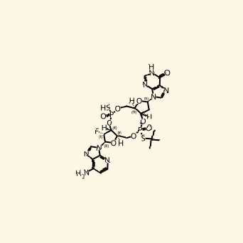 CC(C)(C)SP1(=O)OC[C@H]2O[C@@H](n3cnc4c(N)ccnc43)[C@H](F)[C@@H]2OP(=O)(S)OC[C@H]2O[C@@H](n3cnc4c(=O)[nH]cnc43)C[C@@H]2O1